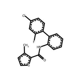 Cc1ccsc1C(=O)Nc1ccccc1-c1ccc(Cl)cc1F